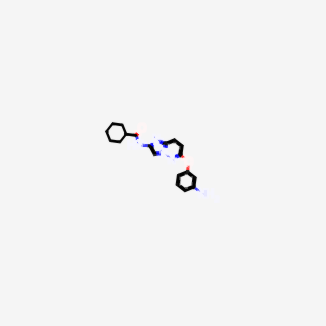 Nc1cccc(Oc2ccc3nc(NC(=O)C4CCCCC4)cn3n2)c1